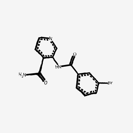 NC(=O)c1ccncc1NC(=O)c1cccc(Br)c1